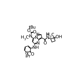 CC(C)n1cccc(Nc2cc(N(C)C(=O)OC(C)(C)C)n3ncc(C(=O)NC4CC[C@@]4(C)O)c3n2)c1=O